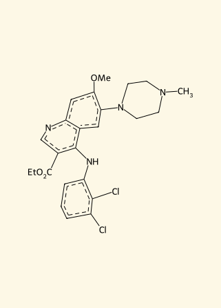 CCOC(=O)c1cnc2cc(OC)c(N3CCN(C)CC3)cc2c1Nc1cccc(Cl)c1Cl